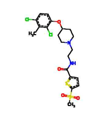 Cc1c(Cl)ccc(OC2CCN(CCNC(=O)c3ccc(S(C)(=O)=O)s3)CC2)c1Cl